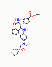 CCOC(=O)c1ccc2c(c1)NC(=O)C2=C(Nc1ccc(N(CC(=O)N2CCCCC2)C(C)=O)cc1)c1ccccc1